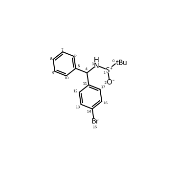 CC(C)(C)[S+]([O-])NC(c1ccccc1)c1ccc(Br)cc1